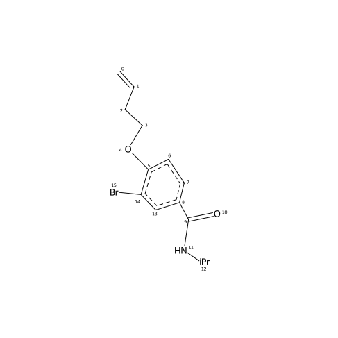 C=CCCOc1ccc(C(=O)NC(C)C)cc1Br